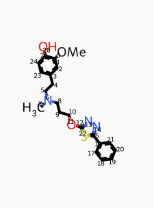 COc1cc(CCN(C)CCCOc2nnc(-c3ccccc3)s2)ccc1O